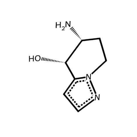 N[C@@H]1CCn2nccc2[C@@H]1O